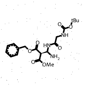 COC(=O)[C@@H](C(=O)OCc1ccccc1)C(N)NC(=O)CNC(=O)OC(C)(C)C